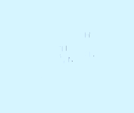 CCC(C)/N=C(\C)c1ccccc1